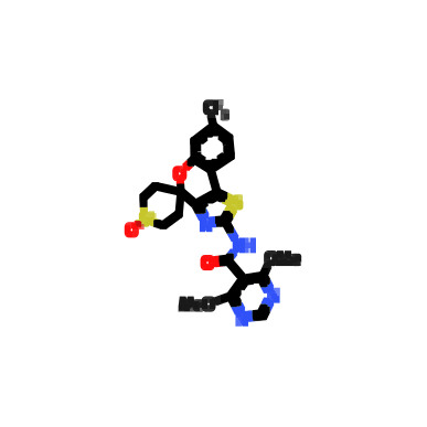 COc1ncnc(OC)c1C(=O)Nc1nc2c(s1)-c1ccc(C(F)(F)F)cc1OC21CC[S+]([O-])CC1